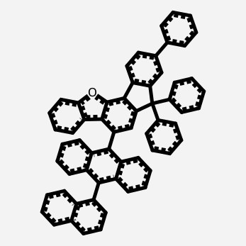 c1ccc(-c2ccc3c(c2)C(c2ccccc2)(c2ccccc2)c2cc(-c4c5ccccc5c(-c5cccc6ccccc56)c5ccccc45)c4c(oc5ccccc54)c2-3)cc1